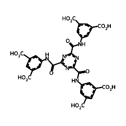 O=C(O)c1cc(NC(=O)c2nc(C(=O)Nc3cc(C(=O)O)cc(C(=O)O)c3)nc(C(=O)Nc3cc(C(=O)O)cc(C(=O)O)c3)n2)cc(C(=O)O)c1